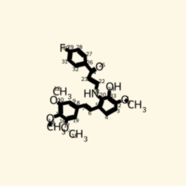 COc1ccc(C=Cc2cc(OC)c(OC)c(OC)c2)c(NC=CC(=O)c2ccc(F)cc2)c1O